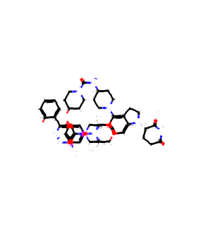 CN(C(=O)N1CCC(Oc2cccc(N3[C@@H]4COC[C@H]3CN(c3cc(-c5ccccc5O)nnc3N)C4)c2)CC1)C1CCN(c2cccc3c2CCN3[C@@H]2CCC(=O)NC2=O)CC1